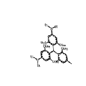 CCN(CC)c1cc(OC)c(C(c2c(C)cc(C)cc2OC)c2c(OC)cc(N(CC)CC)cc2OC)c(OC)c1